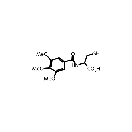 COc1cc(C(=O)NC(CS)C(=O)O)cc(OC)c1OC